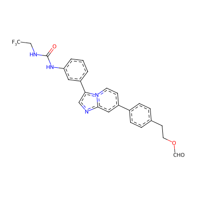 O=COCCc1ccc(-c2ccn3c(-c4cccc(NC(=O)NCC(F)(F)F)c4)cnc3c2)cc1